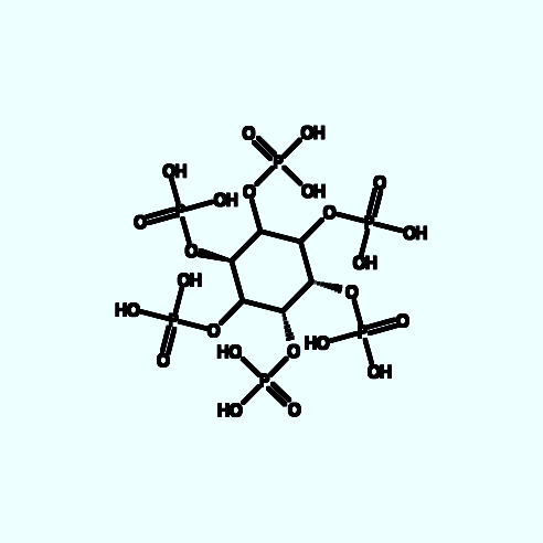 O=P(O)(O)OC1C(OP(=O)(O)O)[C@H](OP(=O)(O)O)[C@H](OP(=O)(O)O)C(OP(=O)(O)O)[C@H]1OP(=O)(O)O